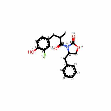 CC(Cc1ccc(O)c(F)c1)C(=O)N1C(=O)OCC1Cc1ccccc1